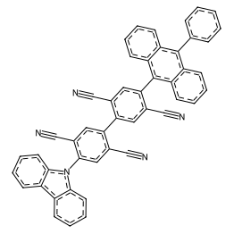 N#Cc1cc(-c2c3ccccc3c(-c3ccccc3)c3ccccc23)c(C#N)cc1-c1cc(C#N)c(-n2c3ccccc3c3ccccc32)cc1C#N